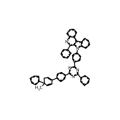 CC1(c2ccccc2)C=CC(c2ccc(-c3nc(-c4ccccc4)nc(-c4ccc(-n5c6ccccc6c6c7ccccc7nc(-c7ccccc7)c65)cc4)n3)cc2)=CC1